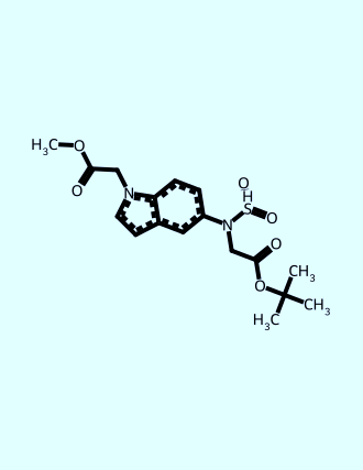 COC(=O)Cn1ccc2cc(N(CC(=O)OC(C)(C)C)[SH](=O)=O)ccc21